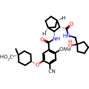 COc1cc(C#N)c(O[C@H]2CC[C@@](C)(C(=O)O)CC2)cc1C(=O)N[C@@H]1[C@H]2CC[C@H](C2)[C@@H]1C(=O)NCC1(O)CCCC1